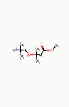 COC(=O)CC(C)(C)OCC(C)(C)N